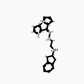 c1ccc2c(c1)CC(NCCON=C1c3sccc3-n3cccc31)C2